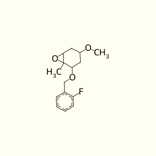 COC1CC(OCc2ccccc2F)C2(C)OC2C1